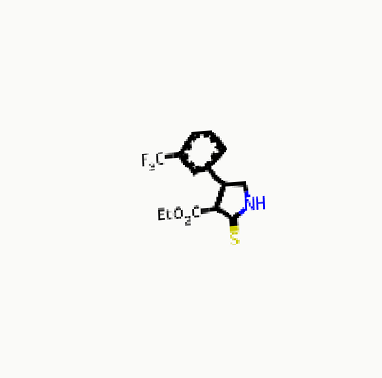 CCOC(=O)C1C(=S)NCC1c1cccc(C(F)(F)F)c1